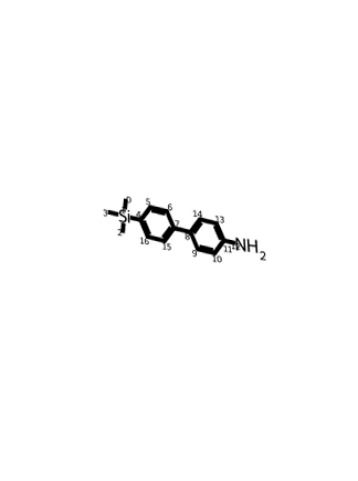 C[Si](C)(C)c1ccc(-c2ccc(N)cc2)cc1